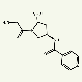 NCC(=O)N1C[C@H](NC(=O)c2ccncc2)C[C@H]1C(=O)O